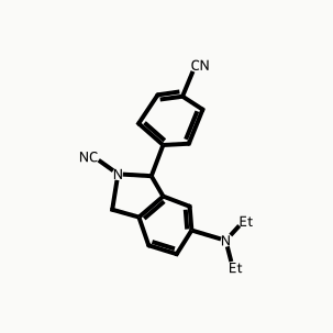 CCN(CC)c1ccc2c(c1)C(c1ccc(C#N)cc1)N(C#N)C2